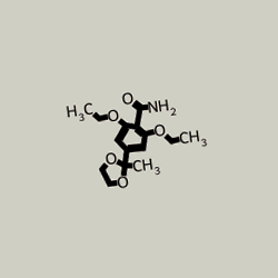 CCOc1cc(C2(C)OCCO2)cc(OCC)c1C(N)=O